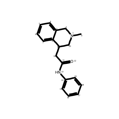 CN1Cc2ccccc2C(CC(=O)Nc2ccccc2)C1